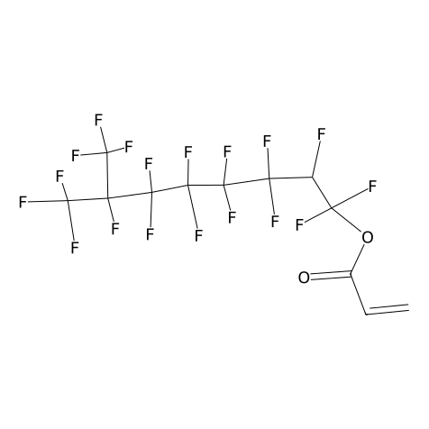 C=CC(=O)OC(F)(F)C(F)C(F)(F)C(F)(F)C(F)(F)C(F)(F)C(F)(C(F)(F)F)C(F)(F)F